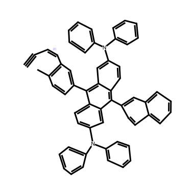 C#C/C=C\c1cc(-c2c3ccc(N(c4ccccc4)c4ccccc4)cc3c(-c3ccc4ccccc4c3)c3ccc(N(c4ccccc4)c4ccccc4)cc23)ccc1C